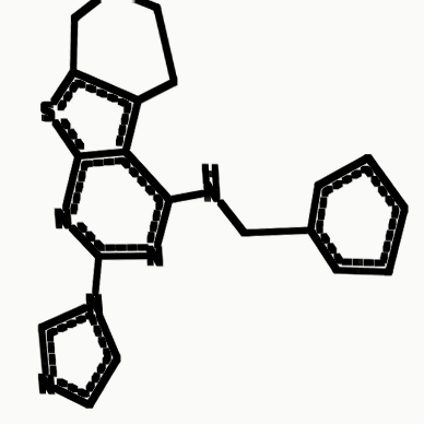 c1ccc(CNc2nc(-n3ccnc3)nc3sc4c(c23)CCCC4)cc1